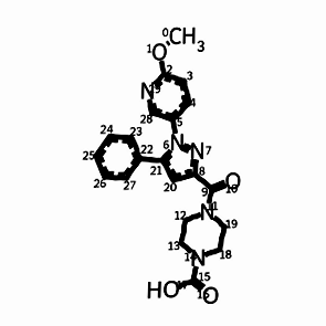 COc1ccc(-n2nc(C(=O)N3CCN(C(=O)O)CC3)cc2-c2ccccc2)cn1